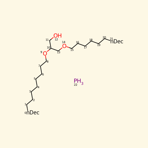 CCCCCCCCCCCCCCCCCCOC(CO)COCCCCCCCCCCCCCCCC.P